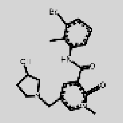 Cc1c(Br)cccc1NC(=O)c1cc(CN2CCC(O)C2)cn(C)c1=O